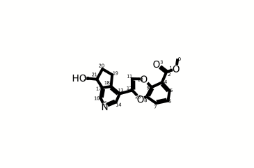 COC(=O)c1cccc2c1OC=C(c1cncc3c1CCC3O)O2